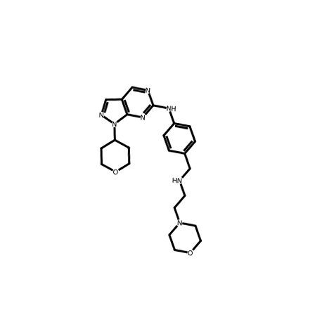 c1cc(Nc2ncc3cnn(C4CCOCC4)c3n2)ccc1CNCCN1CCOCC1